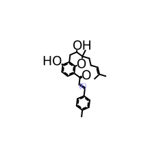 CC(C)=CCCC1(C)Oc2c(C(=O)/C=C/c3ccc(C)cc3)ccc(O)c2CC1O